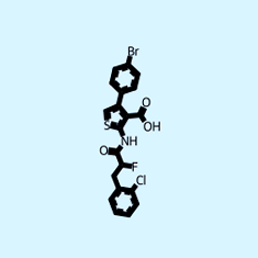 O=C(O)c1c(-c2ccc(Br)cc2)csc1NC(=O)C(F)Cc1ccccc1Cl